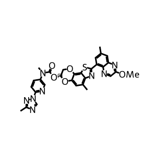 COc1cnc2c(-c3nc4c(C)cc5c(c4s3)OC[C@@H](OC(=O)N(C)c3ccc(-n4cnc(C)n4)nc3)O5)cc(C)cc2n1